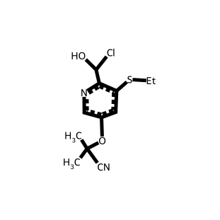 CCSc1cc(OC(C)(C)C#N)cnc1C(O)Cl